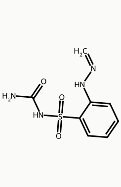 C=NNc1ccccc1S(=O)(=O)NC(N)=O